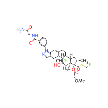 COCC(=O)O[C@]1(C(=O)SCF)[C@H](C)C[C@H]2[C@@H]3CCC4=Cc5c(cnn5-c5cccc(C(=O)NCC(N)=O)c5)C[C@]4(C)[C@@]3(F)C(O)CC21C